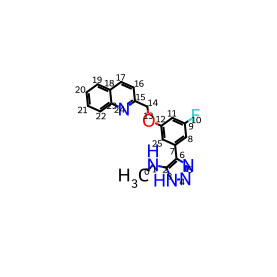 CNc1[nH]nnc1-c1cc(F)cc(OCc2ccc3ccccc3n2)c1